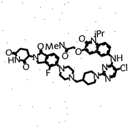 CNC(=O)COc1cc2cc(Nc3nc(N4CCC(CN5CCN(c6ccc7c(c6F)CN(C6CCC(=O)NC6=O)C7=O)CC5)CC4)ncc3Cl)ccc2n(C(C)C)c1=O